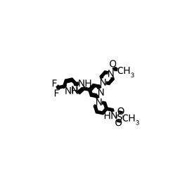 CC(=O)N1CCN(c2cc(-c3cnc(/C=C\C(=N)C(F)F)[nH]3)cc(N3CCCC(CNS(C)(=O)=O)C3)n2)CC1